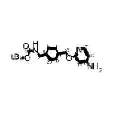 CC(C)(C)OC(=O)NCc1ccc(COc2cc(N)ccn2)cc1